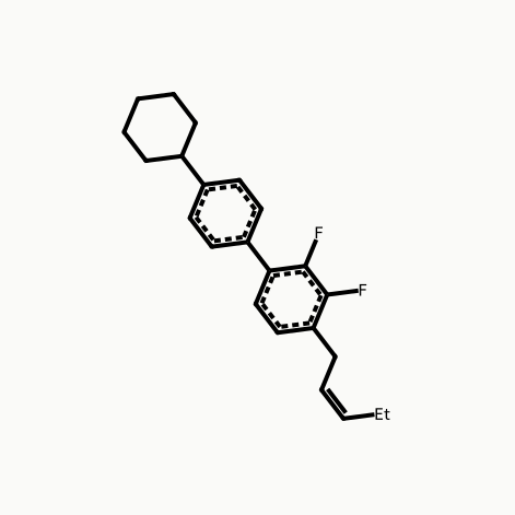 CC/C=C\Cc1ccc(-c2ccc(C3CCCCC3)cc2)c(F)c1F